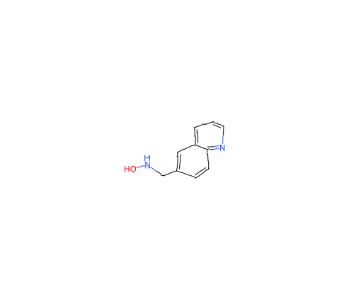 ONCc1ccc2ncccc2c1